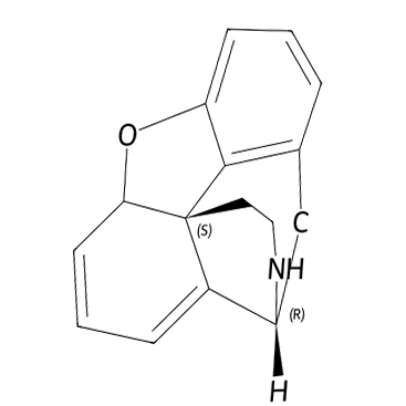 C1=CC2Oc3cccc4c3[C@@]23CCN[C@H](C4)C3=C1